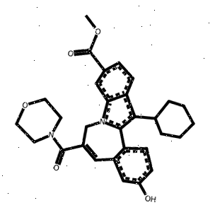 COC(=O)c1ccc2c(C3CCCCC3)c3n(c2c1)CC(C(=O)N1CCOCC1)=Cc1cc(O)ccc1-3